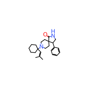 CC(C)=CC1(N2CCC3(CC2)C(=O)NCC3c2ccccc2)CCCCC1